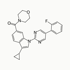 O=C(c1ccc2c(C3CC3)cn(-c3ncc(-c4ccccc4F)cn3)c2c1)N1CCOCC1